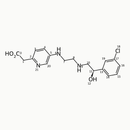 O=C(O)Cc1ccc(NCCNC[C@H](O)c2cccc(Cl)c2)cn1